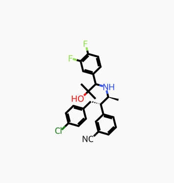 C[C@H](NC(c1ccc(F)c(F)c1)C(C)(C)O)[C@@H](Cc1ccc(Cl)cc1)c1cccc(C#N)c1